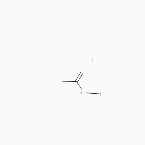 CC(=O)NI.Cl